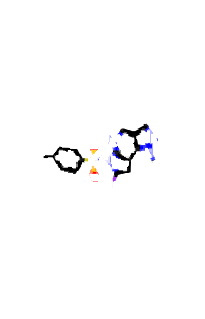 Cc1ccc(S(=O)(=O)n2c(I)cc3c4c(cnc32)cnn4C)cc1